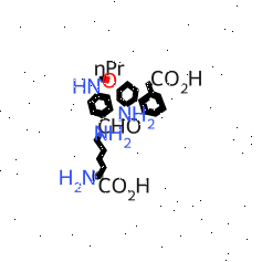 CCCC(=O)Nc1ccc(C=O)cc1.NC1CCCCC1.NCCCC[C@H](N)C(=O)O.O=C(O)Cc1ccccc1